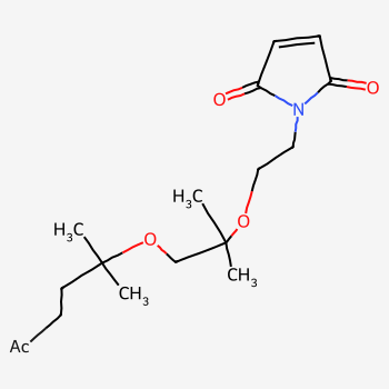 CC(=O)CCC(C)(C)OCC(C)(C)OCCN1C(=O)C=CC1=O